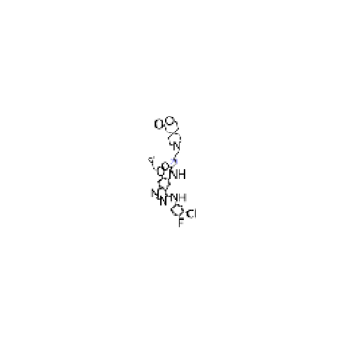 O=C(/C=C/CN1CCC2(CCOC(=O)C2)CC1)Nc1cc2c(Nc3ccc(F)c(Cl)c3)ncnc2cc1OCC1CC1